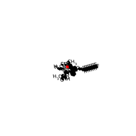 COc1ccc(C(OC[C@H]2O[C@@H](n3cc(C)c(=O)[nH]c3=O)C[C@@H]2OP(OCCC#N)N(C(C)C)C(C)C)(c2ccccc2)c2ccc(OCCCC(F)(F)C(F)(F)C(F)(F)C(F)(F)C(F)(F)C(F)(F)C(F)(F)C(F)(F)F)cc2)cc1